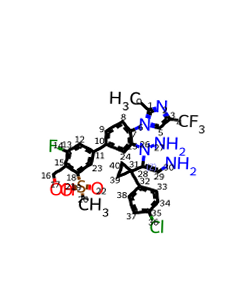 Cc1nc(C(F)(F)F)cn1-c1ccc(-c2cc(F)c(CO)c(S(C)(=O)=O)c2)cc1N(N)/C(=C\N)C1(c2ccc(Cl)cc2)CC1